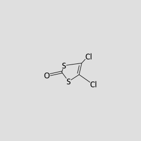 O=c1sc(Cl)c(Cl)s1